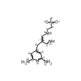 CS(=O)(=O)CCN/C=C(\C=N)Cc1cc(N)nc(N)c1